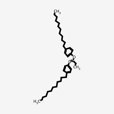 CCCCCCCCCCCCc1ccc([O][Al]([CH2]C)[O]c2ccc(CCCCCCCCCCCC)cc2)cc1